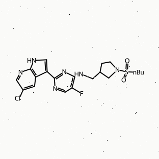 CCCCS(=O)(=O)N1CCC(CNc2nc(-c3c[nH]c4ncc(Cl)cc34)ncc2F)C1